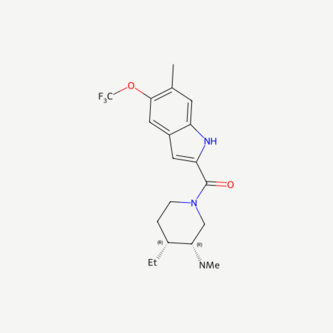 CC[C@@H]1CCN(C(=O)c2cc3cc(OC(F)(F)F)c(C)cc3[nH]2)C[C@@H]1NC